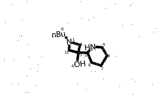 CCCCN1CC(O)(C2CCCCN2)C1